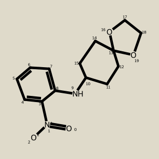 O=[N+]([O-])c1ccccc1NC1CCC2(CC1)OCCO2